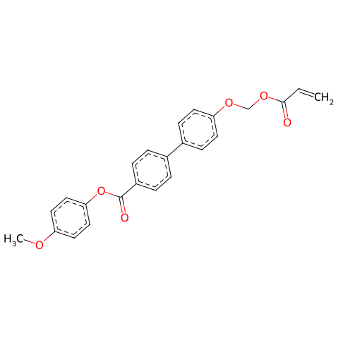 C=CC(=O)OCOc1ccc(-c2ccc(C(=O)Oc3ccc(OC)cc3)cc2)cc1